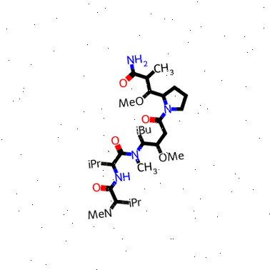 CCC(C)C(C(CC(=O)N1CCCC1C(OC)C(C)C(N)=O)OC)N(C)C(=O)C(NC(=O)C(NC)C(C)C)C(C)C